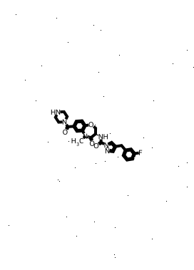 CN1C(=O)[C@@H](NC(=O)n2cc(Cc3cccc(F)c3)cn2)COc2ccc(C(=O)N3CCNCC3)cc21